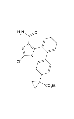 CCOC(=O)C1(c2ccc(-c3ccccc3-c3sc(Cl)cc3C(N)=O)cc2)CC1